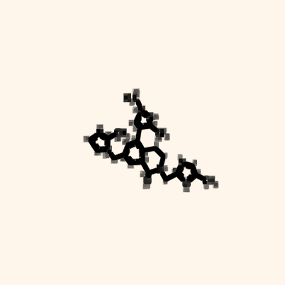 Cc1cnc(CN2CCc3c(cc(Cn4ccnc4C)cc3-c3cn(C)nc3C(F)(F)F)C2=O)o1